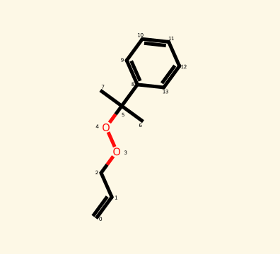 C=C[CH]OOC(C)(C)c1ccccc1